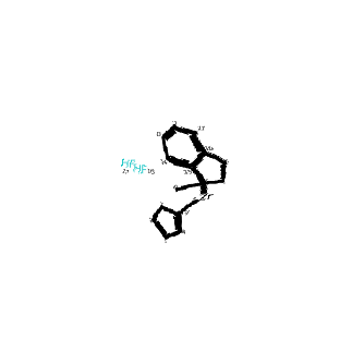 C[C]1([Zr][C]2=CC=CC2)C=Cc2ccccc21.F.F